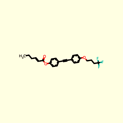 CCC/C=C/C(=O)Oc1ccc(C#Cc2ccc(OCCCC(F)(F)F)cc2)cc1